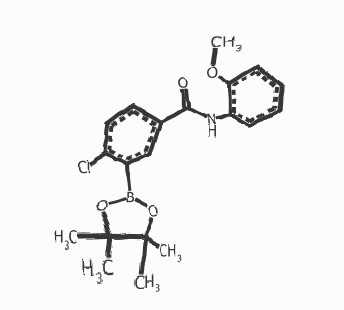 COc1ccccc1NC(=O)c1ccc(Cl)c(B2OC(C)(C)C(C)(C)O2)c1